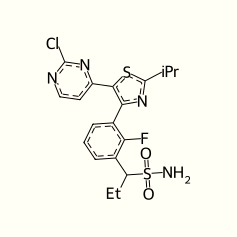 CCC(c1cccc(-c2nc(C(C)C)sc2-c2ccnc(Cl)n2)c1F)S(N)(=O)=O